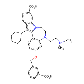 CN(C)CCN1CCn2c(c(C3CCCCC3)c3ccc(C(=O)O)cc32)-c2ccc(OCc3cccc(C(=O)O)c3)cc21